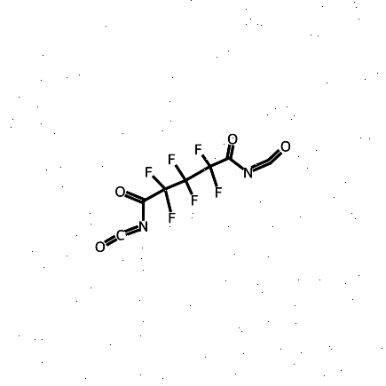 O=C=NC(=O)C(F)(F)C(F)(F)C(F)(F)C(=O)N=C=O